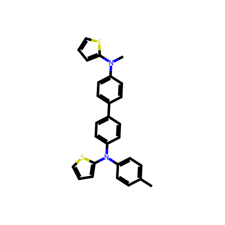 Cc1ccc(N(c2ccc(-c3ccc(N(C)c4cccs4)cc3)cc2)c2cccs2)cc1